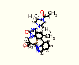 C=CC(=O)N1C[C@H](C)N(c2nc(=O)n3c4c(c(-c5cccc6cnn(C)c56)c(C)cc24)SCC2(COC2)C3)C[C@H]1C